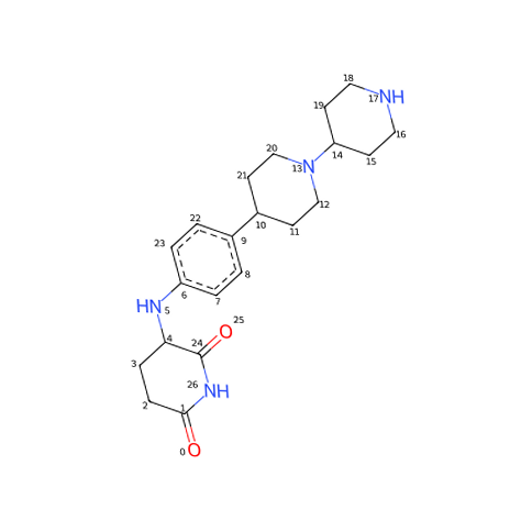 O=C1CCC(Nc2ccc(C3CCN(C4CCNCC4)CC3)cc2)C(=O)N1